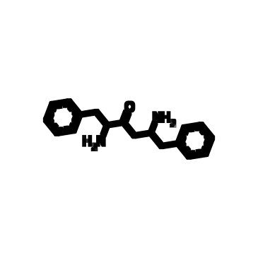 NC(CC(=O)C(N)Cc1ccccc1)Cc1ccccc1